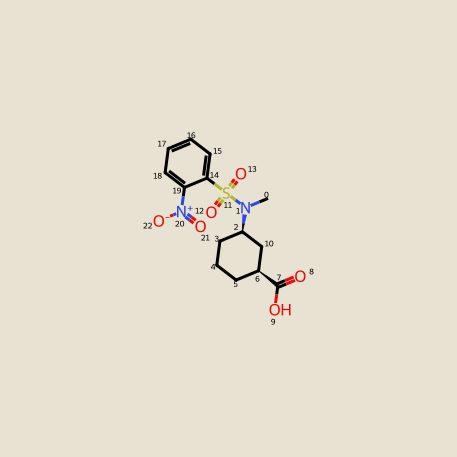 CN([C@@H]1CCC[C@H](C(=O)O)C1)S(=O)(=O)c1ccccc1[N+](=O)[O-]